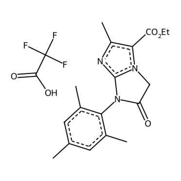 CCOC(=O)c1c(C)nc2n1CC(=O)N2c1c(C)cc(C)cc1C.O=C(O)C(F)(F)F